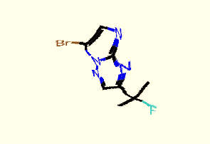 CC(C)(F)c1cnn2c(Br)cnc2n1